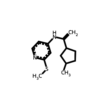 C=C(Nc1ccnc(SC)c1)C1CCC(C)C1